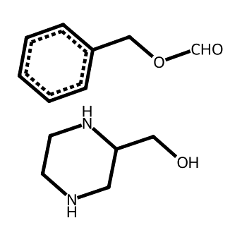 O=COCc1ccccc1.OCC1CNCCN1